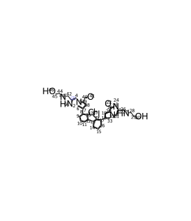 CN(C)/C(=C\n1cc(-c2cccc(-c3cccc(-c4cc5c(=O)n(C)c(CNCCO)cn5c4)c3Cl)c2Cl)cc1C=O)CNCCO